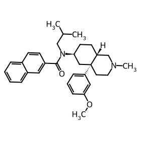 COc1cccc([C@@]23CCN(C)C[C@H]2CC[C@H](N(CC(C)C)C(=O)c2ccc4ccccc4c2)C3)c1